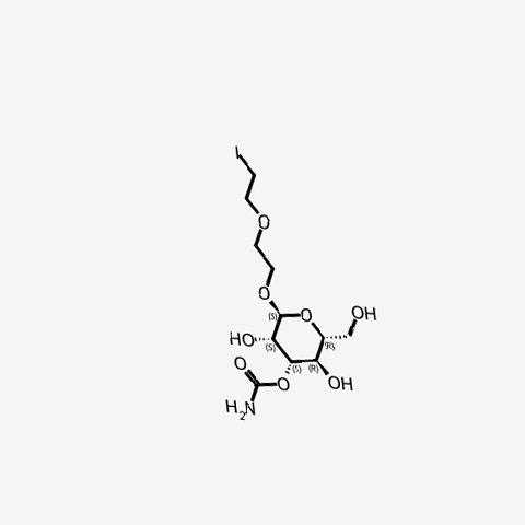 NC(=O)O[C@@H]1[C@H](O)[C@@H](OCCOCCI)O[C@H](CO)[C@H]1O